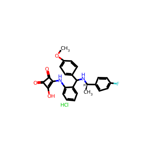 COc1ccc(C(N[C@H](C)c2ccc(F)cc2)c2ccccc2Nc2c(O)c(=O)c2=O)cc1.Cl